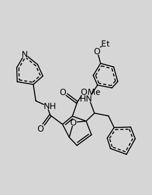 CCOc1cccc(NC(Cc2ccccc2)C23C=CC(O2)C(C(=O)NCc2ccncc2)=C3C(=O)OC)c1